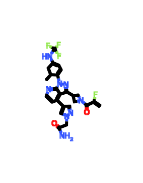 C=C(F)C(=O)N1CC(c2nn(C3=CC=C(NC(F)(F)F)CC3C)c3nccc(-c4cnn(CC(N)=O)c4)c23)C1